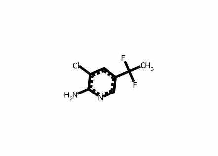 CC(F)(F)c1cnc(N)c(Cl)c1